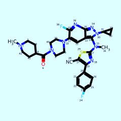 CN1CCC(C(=O)N2CCN(c3cc4c(N(C)c5nc(-c6ccc(F)cc6)c(C#N)s5)n(C5CC5)nc4nc3F)CC2)CC1